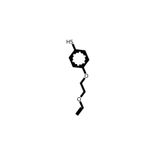 C=COCCOc1ccc(S)cc1